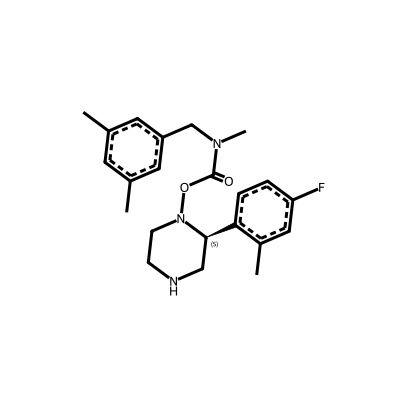 Cc1cc(C)cc(CN(C)C(=O)ON2CCNC[C@@H]2c2ccc(F)cc2C)c1